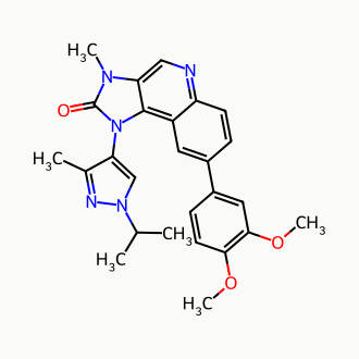 COc1ccc(-c2ccc3ncc4c(c3c2)n(-c2cn(C(C)C)nc2C)c(=O)n4C)cc1OC